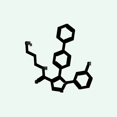 CCCCNC(=O)c1cnn(-c2cccc(Cl)c2)c1-c1ccc(-c2ccccc2)cc1